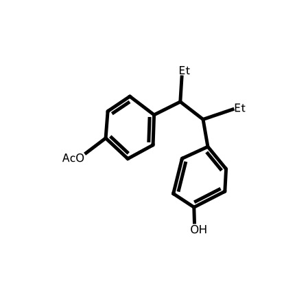 CCC(c1ccc(O)cc1)C(CC)c1ccc(OC(C)=O)cc1